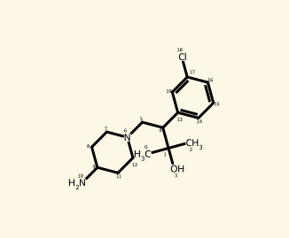 CC(C)(O)C(CN1CCC(N)CC1)c1cccc(Cl)c1